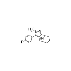 Cn1nc2c(c1-c1ccc(F)cc1)CC1CCCC2N1